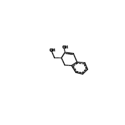 OCC1Cc2ccccc2C=C1O